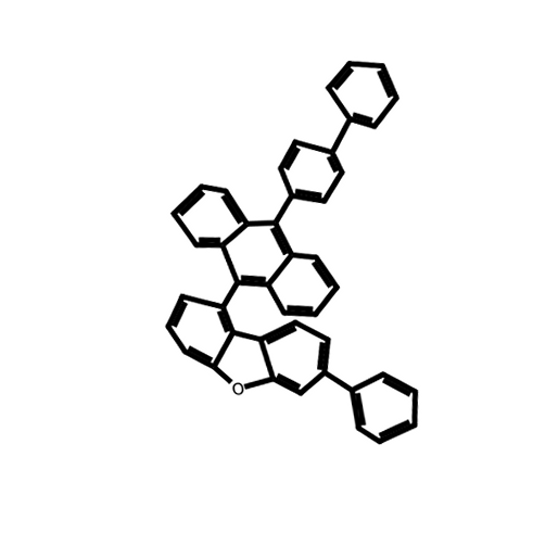 c1ccc(-c2ccc(-c3c4ccccc4c(-c4cccc5oc6cc(-c7ccccc7)ccc6c45)c4ccccc34)cc2)cc1